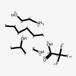 CC(C)O.CCCCCC.CO.NCCO.O=C(O)C(F)(F)F